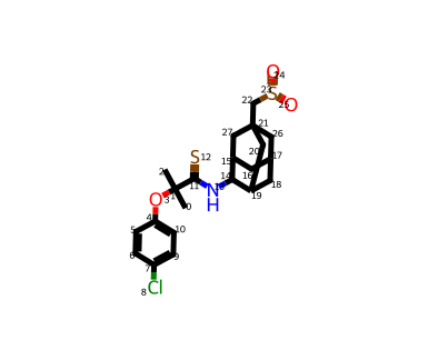 CC(C)(Oc1ccc(Cl)cc1)C(=S)NC1C2CC3CC1CC(C[SH](=O)=O)(C3)C2